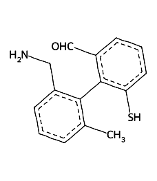 Cc1cccc(CN)c1-c1c(S)cccc1C=O